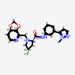 Cn1nccc1-c1cccc(NC(=O)[C@H]2C[C@H](F)CN2Cc2nccc3c2OCO3)c1